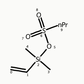 C=C[Si](C)(C)OS(=O)(=O)CCC